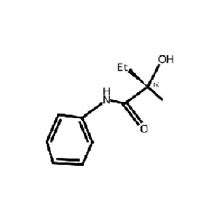 CC[C@](C)(O)C(=O)Nc1ccccc1